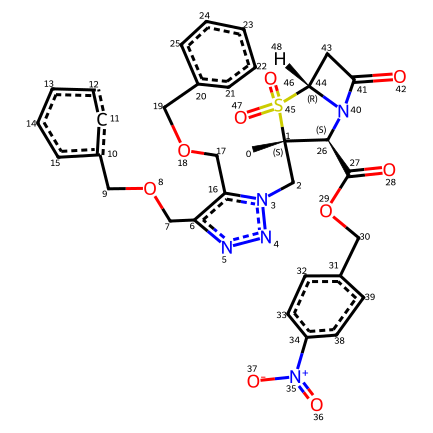 C[C@]1(Cn2nnc(COCc3ccccc3)c2COCc2ccccc2)[C@H](C(=O)OCc2ccc([N+](=O)[O-])cc2)N2C(=O)C[C@H]2S1(=O)=O